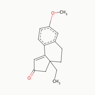 CCC12CCc3cc(OC)ccc3C1=CC(=O)C2